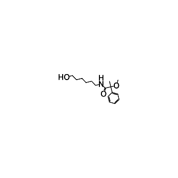 COC(C)(C(=O)NCCCCCCO)c1ccccc1